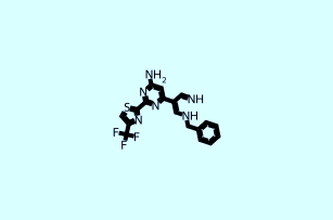 N=C/C(=C\NCc1ccccc1)c1cc(N)nc(-c2nc(C(F)(F)F)cs2)n1